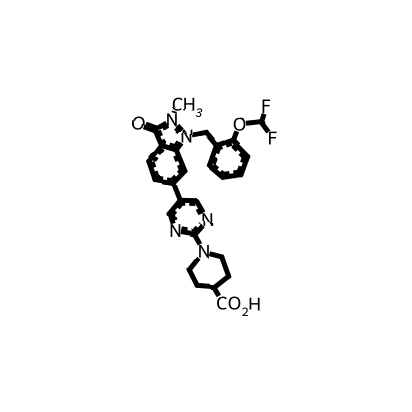 Cn1c(=O)c2ccc(-c3cnc(N4CCC(C(=O)O)CC4)nc3)cc2n1Cc1ccccc1OC(F)F